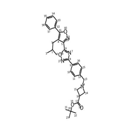 CC(C)Cc1c(-c2nc(-c3ccc(CN4CC(C(=O)OC(C)(C)C)C4)cc3)no2)noc1-c1ccccc1